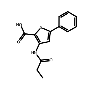 CCC(=O)Nc1cc(-c2ccccc2)sc1C(=O)O